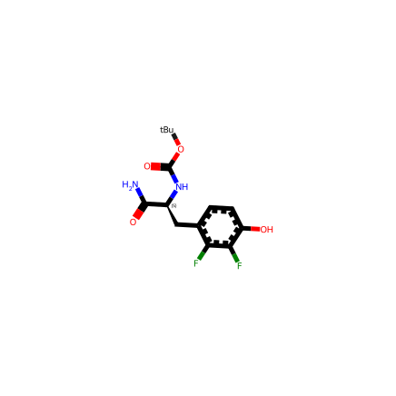 CC(C)(C)OC(=O)N[C@@H](Cc1ccc(O)c(F)c1F)C(N)=O